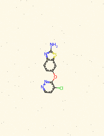 Nc1nc2ccc(Oc3nnccc3Cl)cc2s1